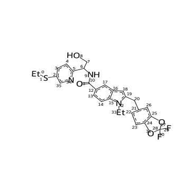 CCSc1ccc(C(CO)NC(=O)c2ccc3c(c2)cc(Cc2ccc4c(c2)OC(F)(F)O4)n3CC)nc1